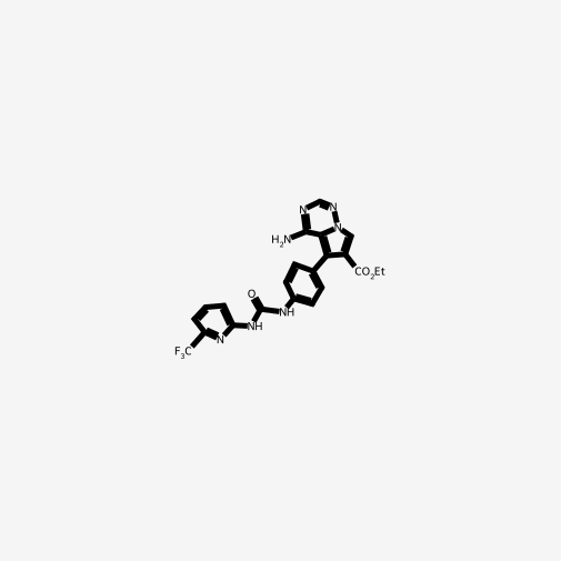 CCOC(=O)c1cn2ncnc(N)c2c1-c1ccc(NC(=O)Nc2cccc(C(F)(F)F)n2)cc1